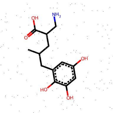 CC(Cc1cc(O)cc(O)c1O)CC(CN)C(=O)O